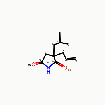 C=CCC1(CC(C)C)CC(=O)NC1=O